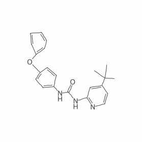 CC(C)(C)c1ccnc(NC(=O)Nc2ccc(Oc3ccccc3)cc2)c1